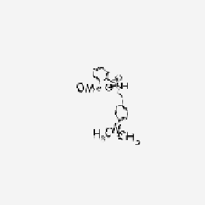 COc1ccccc1S(=O)(=O)NCCc1ccc(N(C)C)cc1